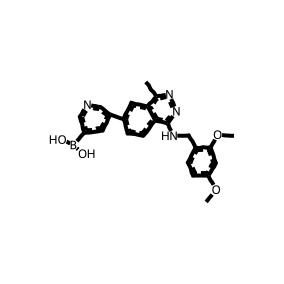 COc1ccc(CNc2nnc(C)c3cc(-c4cncc(B(O)O)c4)ccc23)c(OC)c1